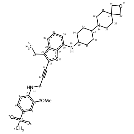 COc1cc(S(C)(=O)=O)ccc1NCC#Cc1sc2c(NC3CCC(N4CCC5(CC4)COC5)CC3)cccc2c1CC(F)(F)F